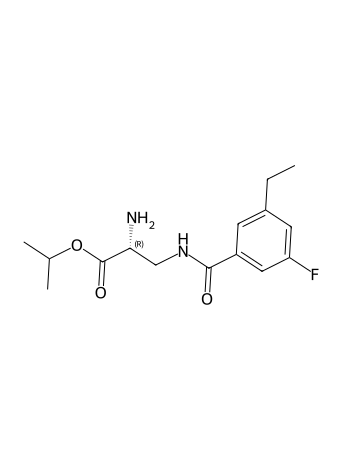 CCc1cc(F)cc(C(=O)NC[C@@H](N)C(=O)OC(C)C)c1